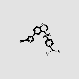 CN(C)c1ccc(S(=O)(=O)N2CCOc3ccc(-c4csc(C#N)c4)cc32)cc1